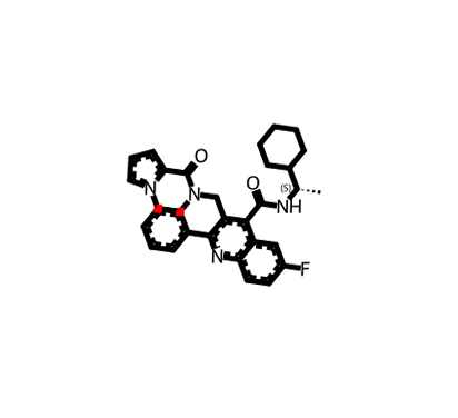 C[C@H](NC(=O)c1c(CN2CCn3cccc3C2=O)c(-c2ccccc2)nc2ccc(F)cc12)C1CCCCC1